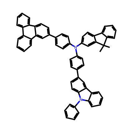 CC1(C)c2ccccc2-c2ccc(N(c3ccc(-c4ccc5c6ccccc6c6ccccc6c5c4)cc3)c3ccc(-c4ccc5c(c4)c4ccccc4n5-c4ccccc4)cc3)cc21